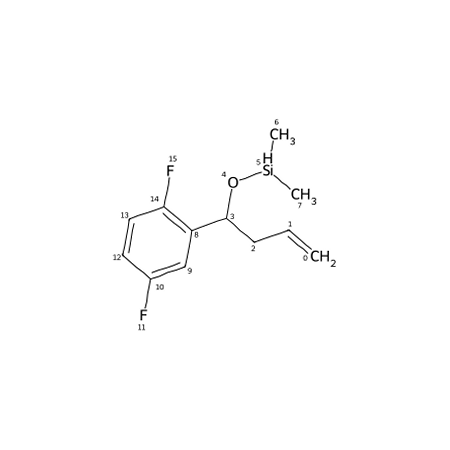 C=CCC(O[SiH](C)C)c1cc(F)ccc1F